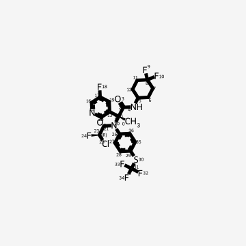 C[C@](C(=O)NC1CCC(F)(F)CC1)(c1cncc(F)c1)N(C(=O)[C@H](F)Cl)c1ccc(SC(F)(F)F)cc1